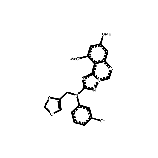 COc1cc(OC)c2c(c1)ncn1nc(N(CC3=COCO3)c3cccc(C)c3)nc21